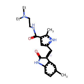 CCN(CC)CCNC(=O)c1cc(/C=C2\C(=O)Nc3ccc(C)cc32)[nH]c1C